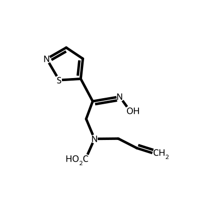 C=CCN(CC(=NO)c1ccns1)C(=O)O